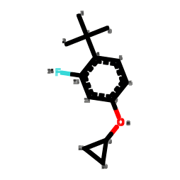 CC(C)(C)c1ccc(OC2CC2)cc1F